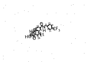 CCN1c2cc(C(=O)NCc3ccc(C(F)(F)F)cc3)ccc2S(=O)(=O)C(C(=O)NO)C1C